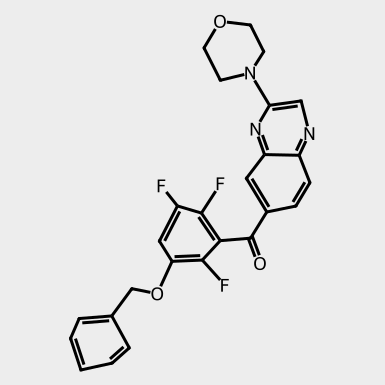 O=C(c1ccc2ncc(N3CCOCC3)nc2c1)c1c(F)c(F)cc(OCc2ccccc2)c1F